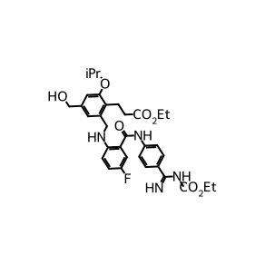 CCOC(=O)CCc1c(CNc2ccc(F)cc2C(=O)Nc2ccc(C(=N)NC(=O)OCC)cc2)cc(CO)cc1OC(C)C